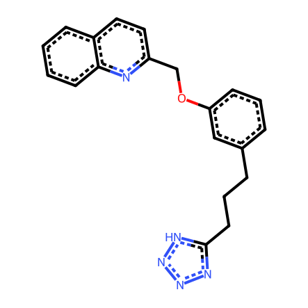 c1cc(CCCc2nnn[nH]2)cc(OCc2ccc3ccccc3n2)c1